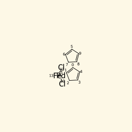 C1=CCC=C1.C1=CCC=C1.[Cl][Pd][Cl].[Fe]